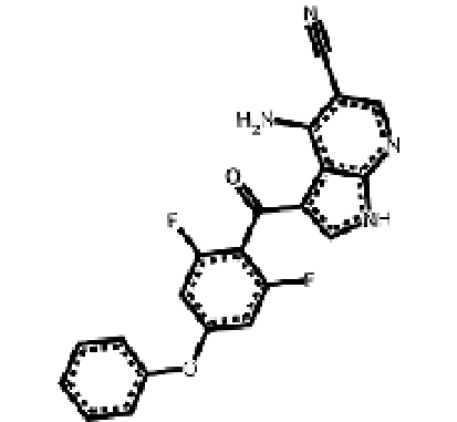 N#Cc1cnc2[nH]cc(C(=O)c3c(F)cc(Oc4ccccc4)cc3F)c2c1N